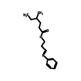 CCC(C)CCC(=O)OCCC=Nc1ccccc1